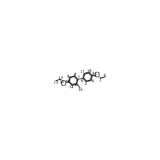 CCOc1ccc(-c2ccc(OCC)cc2C)cc1